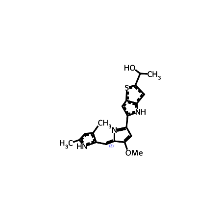 COC1=CC(c2cc3sc(C(C)O)cc3[nH]2)=N/C1=C\c1[nH]c(C)cc1C